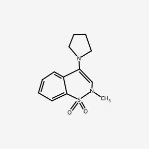 CN1C=C(N2CCCC2)c2ccccc2S1(=O)=O